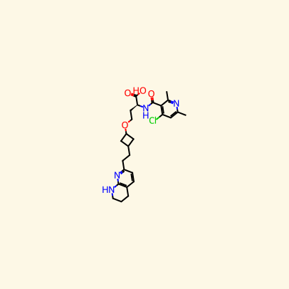 Cc1cc(Cl)c(C(=O)N[C@@H](CCOC2CC(CCc3ccc4c(n3)NCCC4)C2)C(=O)O)c(C)n1